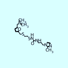 Cc1nccn1CCCNC(=O)NSCCSCc1ccc(CN(C)C)o1